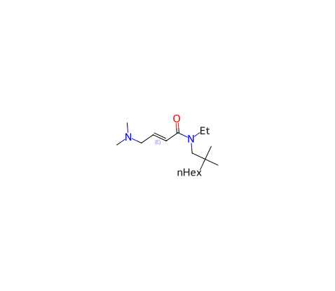 CCCCCCC(C)(C)CN(CC)C(=O)/C=C/CN(C)C